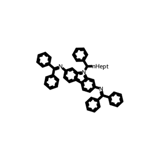 CCCCCCCC(c1ccccc1)n1c2cc(N=C(c3ccccc3)c3ccccc3)ccc2c2ccc(N=C(c3ccccc3)c3ccccc3)cc21